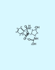 O=C(O)N[C@H]1C[C@@H](O)[C@@H](NS(=O)(=O)c2ccccc2[N+](=O)[O-])C1